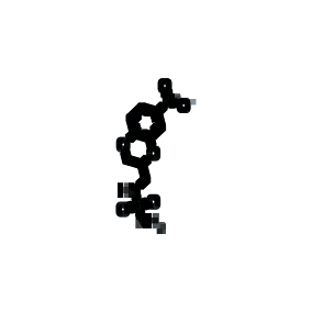 NS(=O)(=O)NCC1COc2ccc([N+](=O)[O-])cc2O1